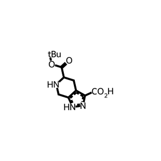 CC(C)(C)OC(=O)C1Cc2c(C(=O)O)n[nH]c2CN1